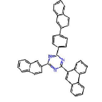 c1ccc2cc(-c3ccc(-c4nc(-c5ccc6ccccc6c5)nc(-c5cc6ccccc6c6ccccc56)n4)cc3)ccc2c1